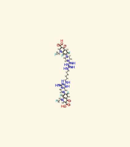 N=C(NCCCCCCNC(=N)NC(=N)N1CCN(c2c(F)cc3c(=O)c(C(=O)O)cn(CCF)c3c2F)CC1)NC(=N)N1CCN(c2c(F)cc3c(=O)c(C(=O)O)cn(CCF)c3c2F)CC1